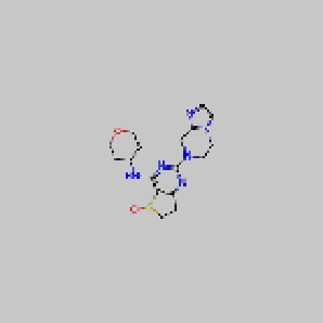 [O-][S+]1CCc2nc(N3CCn4ccnc4C3)nc(NC3CCOCC3)c21